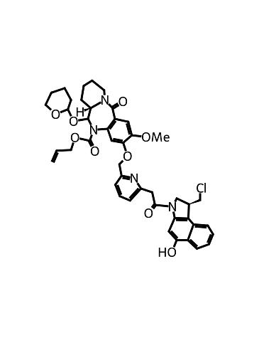 C=CCOC(=O)N1c2cc(OCc3cccc(CC(=O)N4C[C@@H](CCl)c5c4cc(O)c4ccccc54)n3)c(OC)cc2C(=O)N2CCCC[C@H]2C1OC1CCCCO1